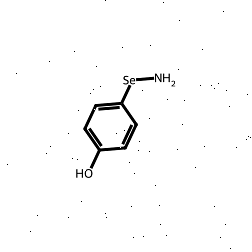 N[Se]c1ccc(O)cc1